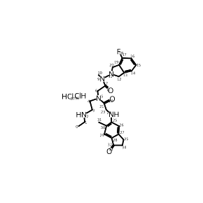 CCNCCN(CC(=O)N(C)N1Cc2cccc(F)c2C1)C(=O)CNc1cc2c(cc1C)C(=O)CC2.Cl.Cl